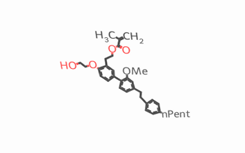 C=C(C)C(=O)OCCc1cc(-c2ccc(CCc3ccc(CCCCC)cc3)cc2OC)ccc1OCCO